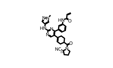 C=CC(=O)Nc1cccc(-c2nc(Nc3cnn(C)c3)ncc2C2=CCC(C(=O)N3CCC[C@H]3C#N)CC2)c1